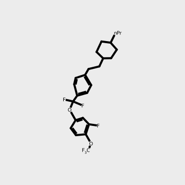 CCCC1CCC(CCc2ccc(C(F)(F)Oc3ccc(OC(F)(F)F)c(F)c3)cc2)CC1